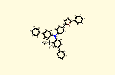 CC1(C)c2cc(-c3ccccc3)ccc2N(c2ccc(-c3ccc(-c4ccccc4)s3)cc2)c2ccc(-c3ccccc3)cc21